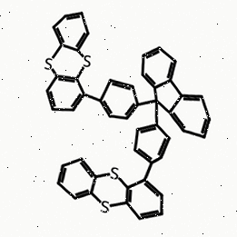 c1ccc2c(c1)Sc1cccc(-c3ccc(C4(c5ccc(-c6cccc7c6Sc6ccccc6S7)cc5)c5ccccc5-c5ccccc54)cc3)c1S2